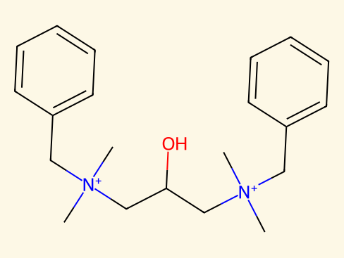 C[N+](C)(Cc1ccccc1)CC(O)C[N+](C)(C)Cc1ccccc1